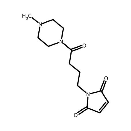 CN1CCN(C(=O)CCCN2C(=O)C=CC2=O)CC1